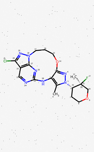 Cc1c2c(nn1[C@H]1CCOC[C@]1(C)F)OCCCn1nc(Cl)c3cnc(nc31)N2